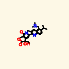 CCC1(O)C(=O)OCc2c1cc1n(c2=O)Cc2cc3c(CN(C)C)c(C(C)C)ccc3nc2-1